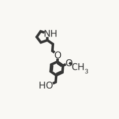 COc1cc(CO)ccc1OCCC1CCCN1